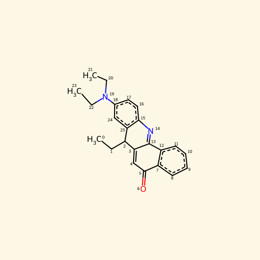 CCC1C2=CC(=O)c3ccccc3C2=Nc2ccc(N(CC)CC)cc21